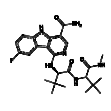 CNC(=O)C(NC(=O)[C@H](Nc1ncc(C(N)=O)c2[nH]c3ccc(F)cc3c12)C(C)(C)C)C(C)(C)C